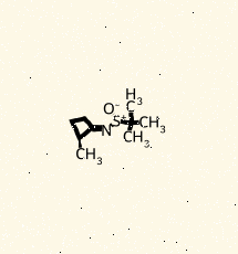 C[C@H]1CC/C1=N\[S+]([O-])C(C)(C)C